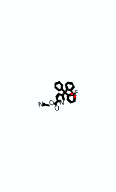 N#CCOC(=O)c1ccc(C(c2ccccc2)(c2ccccc2)c2ccccc2C(F)(F)F)cn1